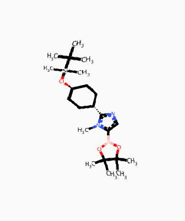 Cn1c(B2OC(C)(C)C(C)(C)O2)cnc1[C@H]1CC[C@H](O[Si](C)(C)C(C)(C)C)CC1